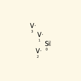 [Si].[V].[V].[V]